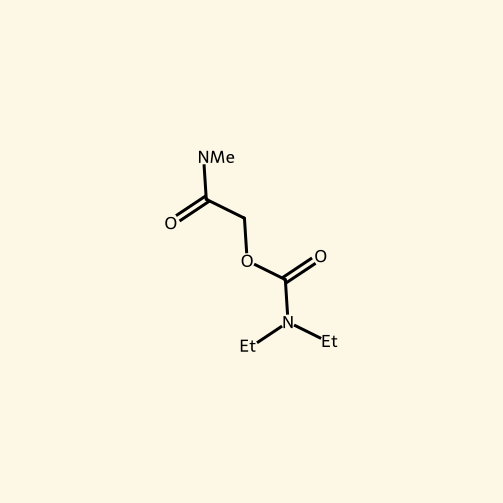 CCN(CC)C(=O)OCC(=O)NC